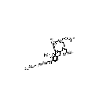 CCOCCOCCOCCOc1ccc(C[C@H]2CN(CC(O)O)CCN(CC(=O)O)CCN(CC(=O)O)CCN2CC(=O)O)cc1